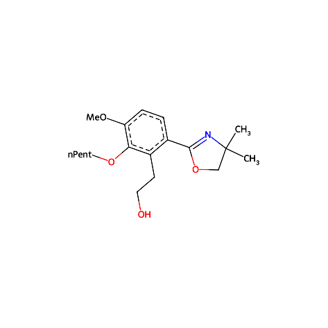 CCCCCOc1c(OC)ccc(C2=NC(C)(C)CO2)c1CCO